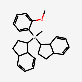 COc1ccccc1[Si](C)(C1CCC2C=CC=CC21)C1CCC2C=CC=CC21